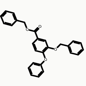 O=C(OCc1ccccc1)c1ccc(Oc2ccccc2)c(OCc2ccccc2)c1